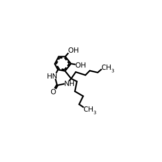 CCCCCC1(CCCCC)NC(=O)Nc2ccc(O)c(O)c21